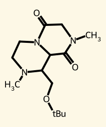 CN1CC(=O)N2CCN(C)C(COC(C)(C)C)C2C1=O